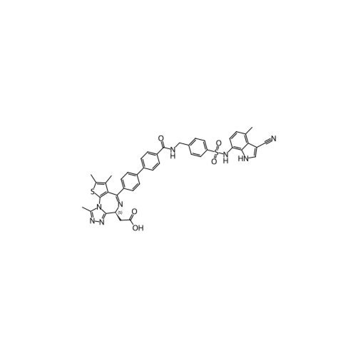 Cc1sc2c(c1C)C(c1ccc(-c3ccc(C(=O)NCc4ccc(S(=O)(=O)Nc5ccc(C)c6c(C#N)c[nH]c56)cc4)cc3)cc1)=N[C@@H](CC(=O)O)c1nnc(C)n1-2